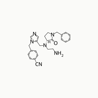 N#Cc1ccc(Cn2cncc2CN(CCN)[C@@H]2CCN(Cc3ccccc3)C2=O)cc1